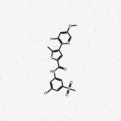 COc1cnc(-c2cc(C(=O)Nc3cc(Cl)cc(S(C)(=O)=O)c3)sc2C)c(F)c1